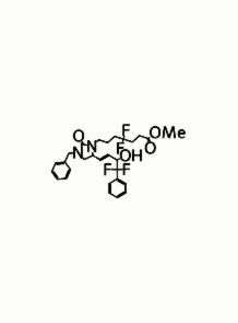 COC(=O)CCC(F)(F)CCCN1C(=O)N(Cc2ccccc2)C[C@@H]1/C=C/C(O)C(F)(F)c1ccccc1